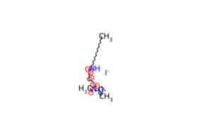 CCCCCCCCCCCCCCCNC(=O)OCC1CCC(COC(=O)N(Cc2cccc[n+]2CC)C(C)=O)O1.[I-]